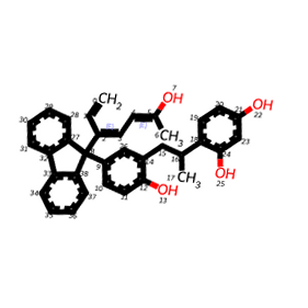 C=C/C(=C\C=C(/C)O)C1(c2ccc(O)c(CC(C)c3ccc(O)cc3O)c2)c2ccccc2-c2ccccc21